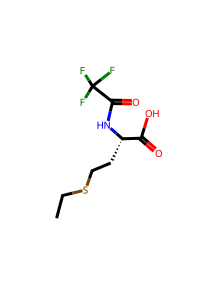 CCSCC[C@H](NC(=O)C(F)(F)F)C(=O)O